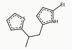 CCc1ccc(CC(C)c2cccs2)[nH]1